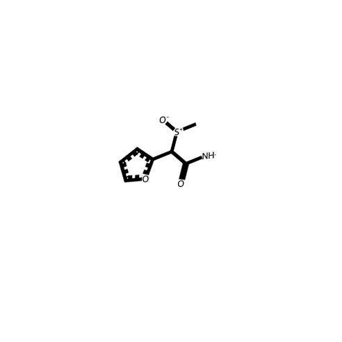 C[S+]([O-])C(C([NH])=O)c1ccco1